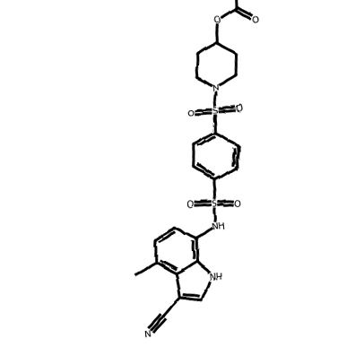 Cc1ccc(NS(=O)(=O)c2ccc(S(=O)(=O)N3CCC(OC(N)=O)CC3)cc2)c2[nH]cc(C#N)c12